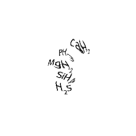 P.S.[CaH2].[MgH2].[SiH4]